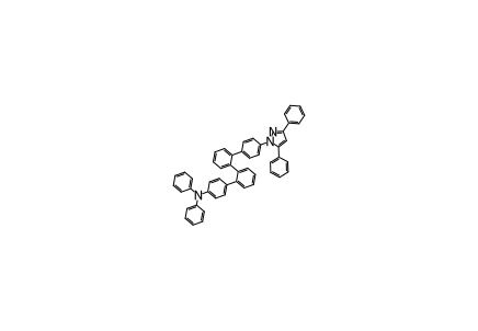 c1ccc(-c2cc(-c3ccccc3)n(-c3ccc(-c4ccccc4-c4ccccc4-c4ccc(N(c5ccccc5)c5ccccc5)cc4)cc3)n2)cc1